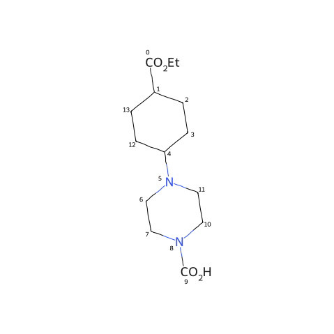 CCOC(=O)C1CCC(N2CCN(C(=O)O)CC2)CC1